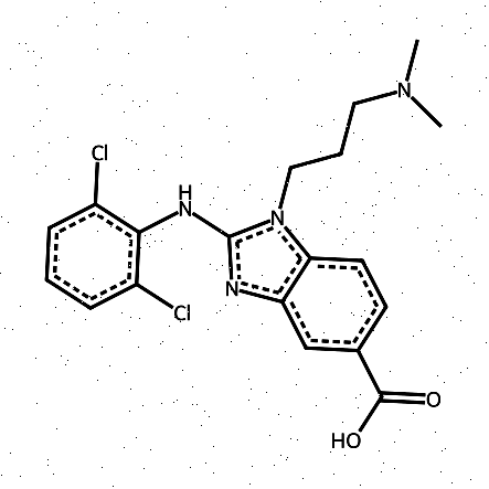 CN(C)CCCn1c(Nc2c(Cl)cccc2Cl)nc2cc(C(=O)O)ccc21